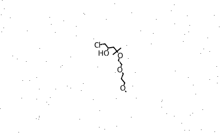 COCCCOCCOC(C)(C)CC(O)CCl